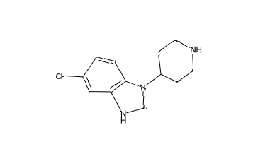 Clc1ccc2c(c1)N[CH]N2C1CCNCC1